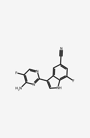 N#Cc1cc(F)c2[nH]cc(-c3ncc(F)c(N)n3)c2c1